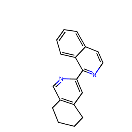 [c]1nc(-c2nccc3ccccc23)cc2c1CCCC2